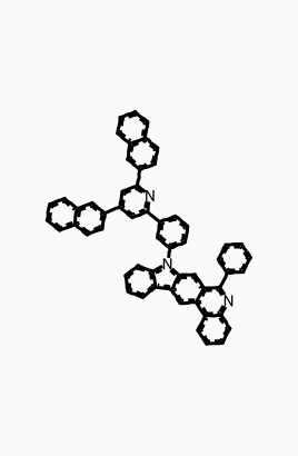 c1ccc(-c2nc3ccccc3c3cc4c5ccccc5n(-c5cccc(-c6cc(-c7ccc8ccccc8c7)cc(-c7ccc8ccccc8c7)n6)c5)c4cc23)cc1